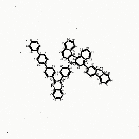 c1ccc(-c2ccc(-c3ccc(-c4nc5ccccc5nc4-c4ccc(-n5c6ccc7ccccc7c6c6c7ccccc7c(-c7ccc8c(c7)oc7ccccc78)cc65)cc4)cc3)cc2)cc1